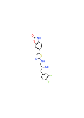 N[C@@H](CNc1ncc(-c2ccc3[nH]c(=O)oc3c2)s1)Cc1ccc(F)c(F)c1